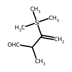 C=C(C(C)C=O)[Si](C)(C)C